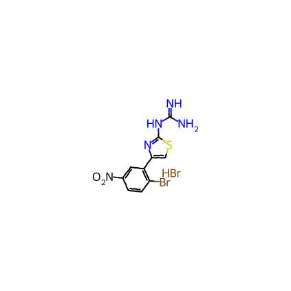 Br.N=C(N)Nc1nc(-c2cc([N+](=O)[O-])ccc2Br)cs1